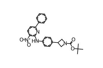 CC(C)(C)OC(=O)N1CC(c2ccc(Nc3nc(-c4ccccc4)ccc3[N+](=O)[O-])cc2)C1